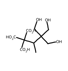 CC(C(CO)(CO)CO)C(C(=O)O)(C(=O)O)C(=O)O